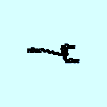 CCCCCCCCCCCCCCCCCCc1n(CCCCCCCCCCC)cc[n+]1CCCCCCCCCCC